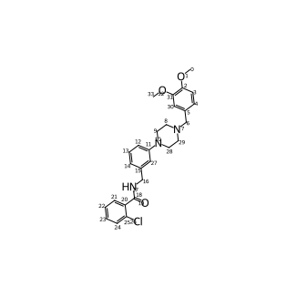 COc1ccc(CN2CCN(c3cccc(CNC(=O)c4ccccc4Cl)c3)CC2)cc1OC